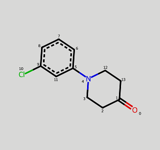 O=C1CCN(c2cccc(Cl)c2)CC1